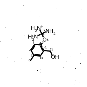 Cc1ccc(OC(N)(N)N)c(CO)c1